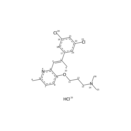 CC(=Cc1nc(C)ccc1OCCCN(C)C)c1cc(Cl)cc(Cl)c1.Cl